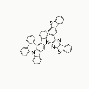 c1ccc2c(c1)-c1ccccc1-n1c3ccccc3c3cc4c(c-2c31)c1ccccc1n4-c1nc2sc3ccccc3c2nc1-c1ccc2sc3ccccc3c2c1